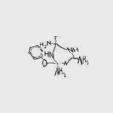 NC1=NC(N)(Oc2ccccc2)NC(N)(F)N1